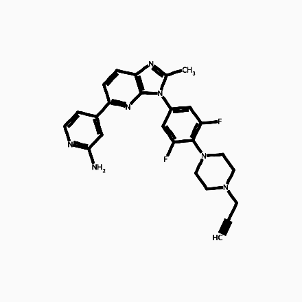 C#CCN1CCN(c2c(F)cc(-n3c(C)nc4ccc(-c5ccnc(N)c5)nc43)cc2F)CC1